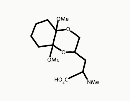 CNC(CC1COC2(OC)CCCCC2(OC)O1)C(=O)O